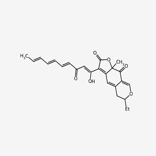 C/C=C/C=C/C=C/C(=O)/C=C(\O)C1=C2C=C3CC(CC)OC=C3C(=O)C2(C)OC1=O